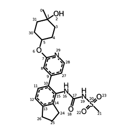 CC1(O)CCC(Oc2cc(-c3ccc4c(c3NC(=O)NS(C)(=O)=O)CCC4)ccn2)CC1